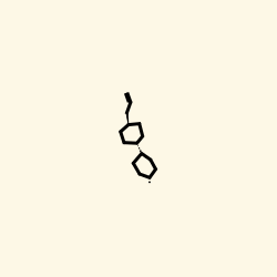 C=CC[C@H]1CC[C@H](C2CC[CH]CC2)CC1